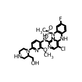 COc1nc(N2CCNCC2CO)ccc1Nc1ncc(Cl)c(Nc2ccc(F)cc2NS(C)(=O)=O)n1